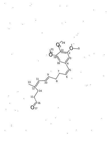 COc1cc(/C=C\CCC=CC=C(C)CCC=O)cc(OC)c1OC